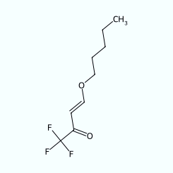 CCCCCO/C=C/C(=O)C(F)(F)F